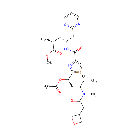 COC(=O)[C@@H](C)C[C@H](Cc1ncccn1)NC(=O)c1csc([C@@H](CC(C(C)C)N(C)C(=O)CC2COC2)OC(C)=O)n1